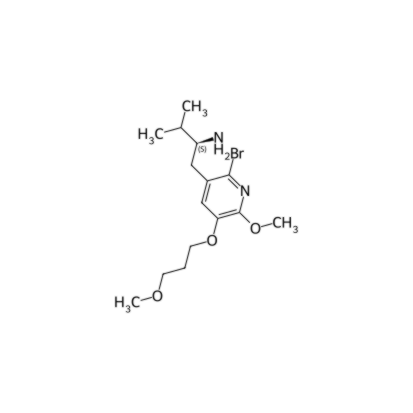 COCCCOc1cc(C[C@H](N)C(C)C)c(Br)nc1OC